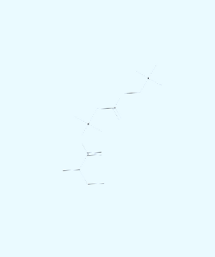 CCC(C)C(=O)OC(C)(C)CC(=O)OCC(C)(F)F